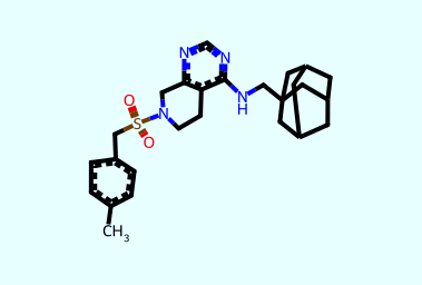 Cc1ccc(CS(=O)(=O)N2CCc3c(ncnc3NCC34CC5CC(CC(C5)C3)C4)C2)cc1